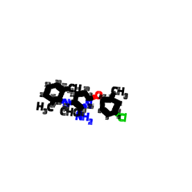 Cc1cc(Cl)ccc1Oc1ccc(N(C=O)c2c(C)cccc2C)c(N)n1